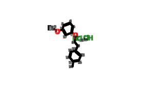 CCOc1cccc(OCCc2ccc(C)cc2)c1.Cl.Cl